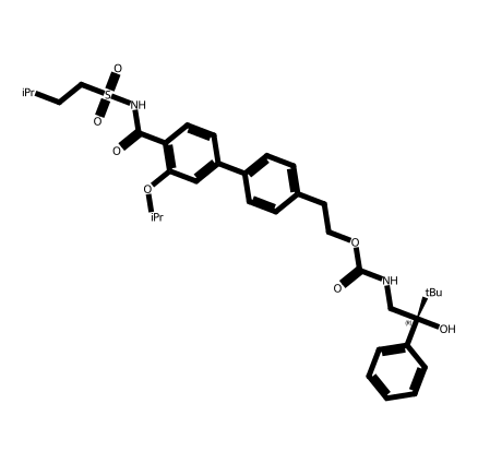 CC(C)CCS(=O)(=O)NC(=O)c1ccc(-c2ccc(CCOC(=O)NC[C@](O)(c3ccccc3)C(C)(C)C)cc2)cc1OC(C)C